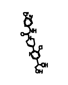 Cc1cc(NC(=O)N2CC=C(c3ncc([C@@H](O)CO)cc3Cl)CC2)ccc1C(F)(F)F